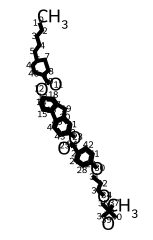 CCCCCCC1CCC(C(=O)Oc2ccc3c(c2)Cc2cc(OC(=O)c4ccc(OCCCOCC5(C)COC5)cc4)ccc2-3)CC1